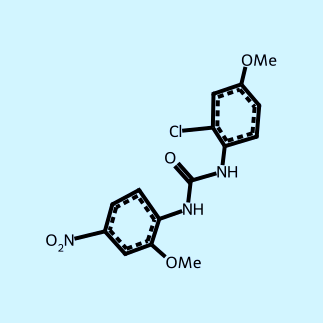 COc1ccc(NC(=O)Nc2ccc([N+](=O)[O-])cc2OC)c(Cl)c1